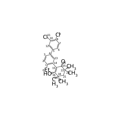 CCc1ccc(-c2ccc(Cl)c(Cl)c2)cc1C1=C(O)C(C)(C)CC(C)(C)C1=O